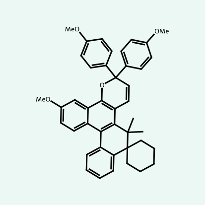 COc1ccc(C2(c3ccc(OC)cc3)C=Cc3c4c(c5ccc(OC)cc5c3O2)-c2ccccc2C2(CCCCC2)C4(C)C)cc1